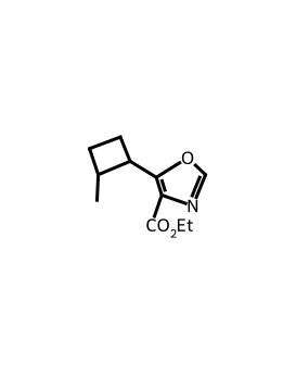 CCOC(=O)c1ncoc1C1CCC1C